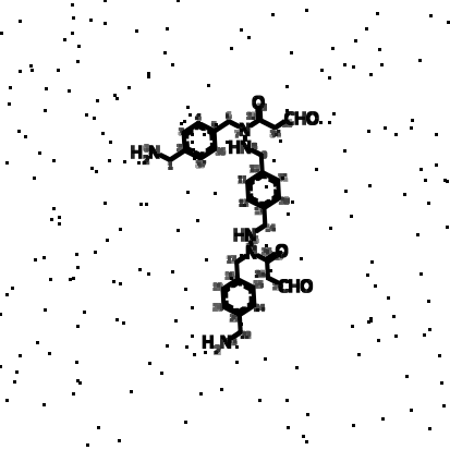 NCc1ccc(CN(NCc2ccc(CNN(Cc3ccc(CN)cc3)C(=O)CC=O)cc2)C(=O)CC=O)cc1